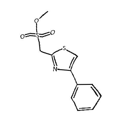 COS(=O)(=O)Cc1nc(-c2ccccc2)cs1